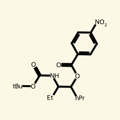 CCCC(OC(=O)c1ccc([N+](=O)[O-])cc1)C(CC)NC(=O)OC(C)(C)C